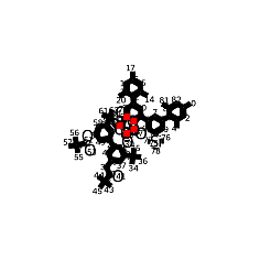 Cc1cc(C)c(-c2cc(-c3cc(-c4c(C)cc(C)cc4C)cc([Si](C)(C)C)c3Op3oc4c(C(C)(C)C)cc(CC(=O)C(C)(C)C)cc4c4cc(OC(=O)C(C)(C)C)cc(C(C)(C)C)c4o3)c(OP3OCC(=O)O3)c([Si](C)(C)C)c2)c(C)c1